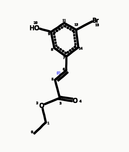 CCOC(=O)/C=C/c1cc(O)cc(Br)c1